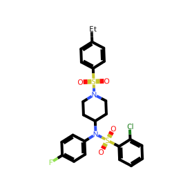 CCc1ccc(S(=O)(=O)N2CCC(N(c3ccc(F)cc3)S(=O)(=O)c3ccccc3Cl)CC2)cc1